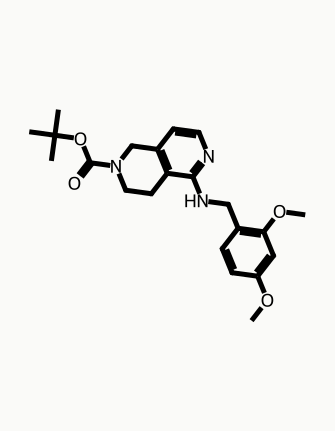 COc1ccc(CNc2nccc3c2CCN(C(=O)OC(C)(C)C)C3)c(OC)c1